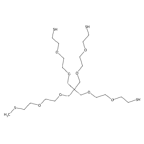 CSCCOCCOCC(COCCOCCS)(COCCOCCS)COCCOCCS